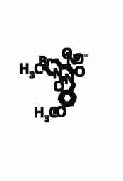 CCCn1c(CBr)c([N+](=O)[O-])c(=O)n(Cc2ccc(OC)cc2)c1=O